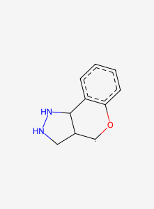 [CH]1Oc2ccccc2C2NNCC12